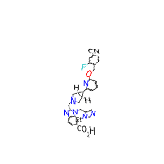 CCn1cncc1Cn1c(CN2C[C@@H]3[C@H](C2)[C@@H]3c2cccc(OCc3ccc(C#N)cc3F)n2)nc2ccc(C(=O)O)cc21